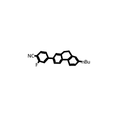 CCCCc1ccc2c(c1)CCc1cc(-c3ccc(C#N)c(F)c3)ccc1-2